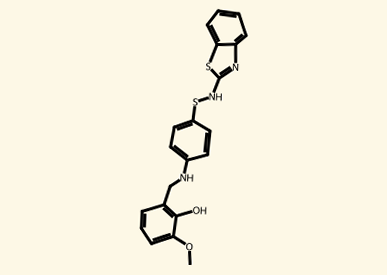 COc1cccc(CNc2ccc(SNc3nc4ccccc4s3)cc2)c1O